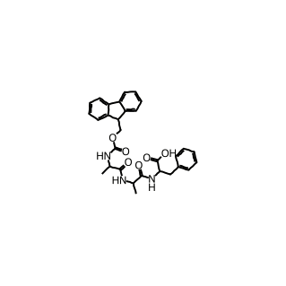 CC(NC(=O)OCC1c2ccccc2-c2ccccc21)C(=O)NC(C)C(=O)NC(Cc1ccccc1)C(=O)O